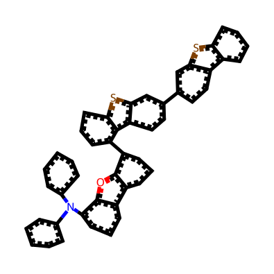 c1ccc(N(c2ccccc2)c2cccc3c2oc2c(-c4cccc5sc6cc(-c7ccc8c(c7)sc7ccccc78)ccc6c45)cccc23)cc1